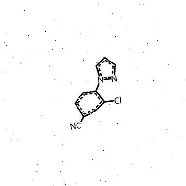 N#Cc1ccc(-n2cccn2)c(Cl)c1